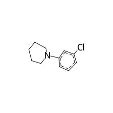 Clc1cccc(N2CCCCC2)c1